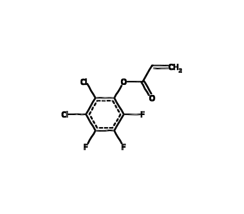 C=CC(=O)Oc1c(F)c(F)c(F)c(Cl)c1Cl